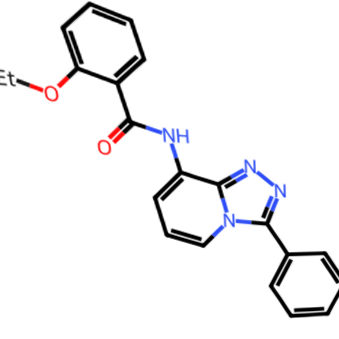 CCOc1ccccc1C(=O)Nc1cccn2c(-c3ccccc3)nnc12